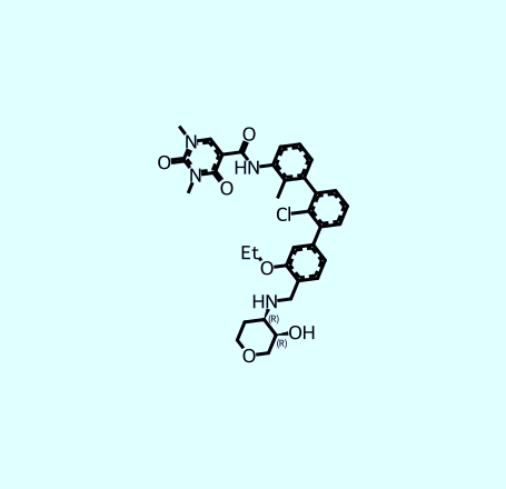 CCOc1cc(-c2cccc(-c3cccc(NC(=O)c4cn(C)c(=O)n(C)c4=O)c3C)c2Cl)ccc1CN[C@@H]1CCOC[C@@H]1O